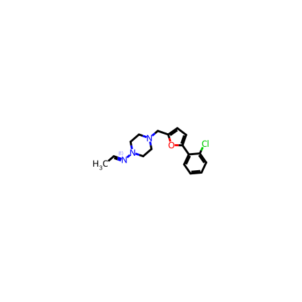 C/C=N/N1CCN(Cc2ccc(-c3ccccc3Cl)o2)CC1